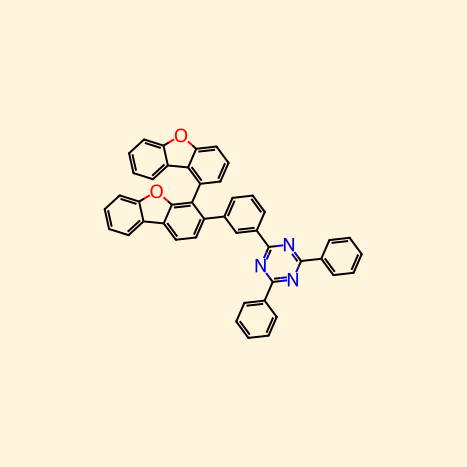 c1ccc(-c2nc(-c3ccccc3)nc(-c3cccc(-c4ccc5c(oc6ccccc65)c4-c4cccc5oc6ccccc6c45)c3)n2)cc1